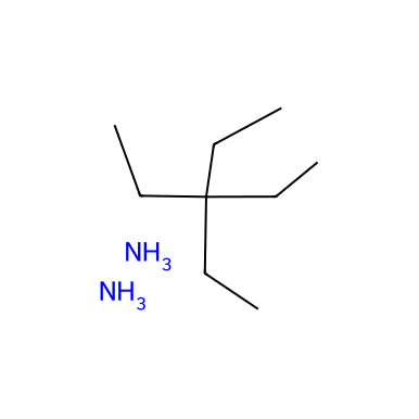 CCC(CC)(CC)CC.N.N